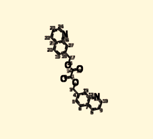 O=C(OCc1ccc2cccnc2c1)C(=O)OCc1ccc2cccnc2c1